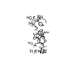 CO[C@@]1(NC(=O)CS/C(S)=C(\C(N)=O)C(=O)O)C(=O)N2C(C(=O)O)=C(CSc3nnnn3C)CS[C@@H]21